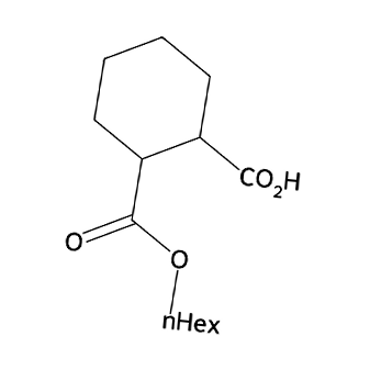 CCCCCCOC(=O)C1CCCCC1C(=O)O